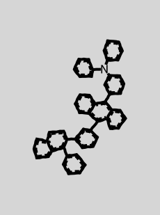 c1ccc(-c2c(-c3cccc(-c4c5ccccc5c(-c5cccc(N(c6ccccc6)c6ccccc6)c5)c5ccccc45)c3)ccc3ccccc23)cc1